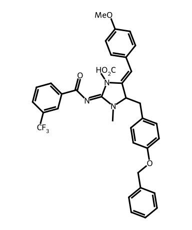 COc1ccc(C=C2C(Cc3ccc(OCc4ccccc4)cc3)N(C)C(=NC(=O)c3cccc(C(F)(F)F)c3)N2C(=O)O)cc1